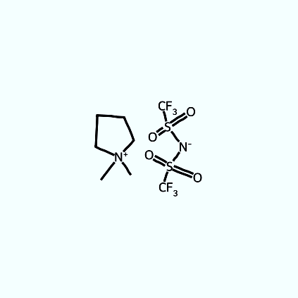 C[N+]1(C)CCCC1.O=S(=O)([N-]S(=O)(=O)C(F)(F)F)C(F)(F)F